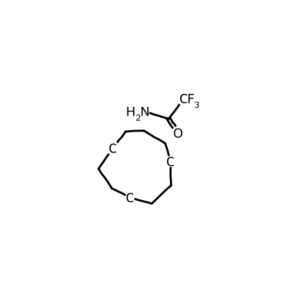 C1CCCCCCCCC1.NC(=O)C(F)(F)F